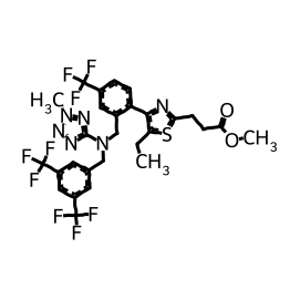 CCc1sc(CCC(=O)OC)nc1-c1ccc(C(F)(F)F)cc1CN(Cc1cc(C(F)(F)F)cc(C(F)(F)F)c1)c1nnn(C)n1